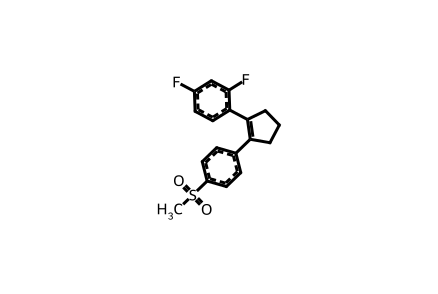 CS(=O)(=O)c1ccc(C2=C(c3ccc(F)cc3F)CCC2)cc1